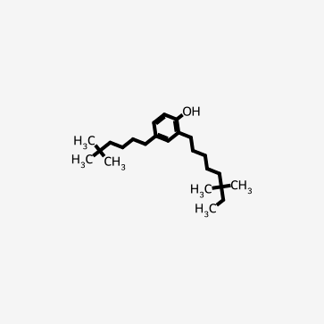 CCC(C)(C)CCCCCc1cc(CCCCC(C)(C)C)ccc1O